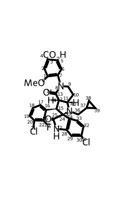 COc1cc(C(=O)O)ccc1N1CC[C@H]2[C@@H](C1=O)[C@H](c1cccc(Cl)c1F)[C@]1(C(=O)Nc3cc(Cl)ccc31)N2CC1CC1